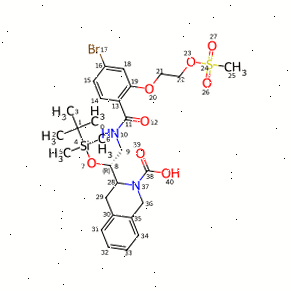 CC(C)(C)[Si](C)(C)O[C@H](CNC(=O)c1ccc(Br)cc1OCCOS(C)(=O)=O)C1Cc2ccccc2CN1C(=O)O